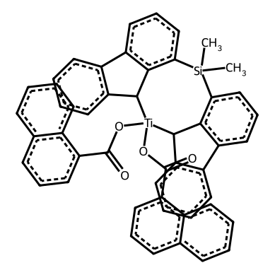 C[Si]1(C)c2cccc3c2[CH](c2ccccc2-3)[Ti]([O]C(=O)c2cccc3ccccc23)([O]C(=O)c2cccc3ccccc23)[CH]2c3ccccc3-c3cccc1c32